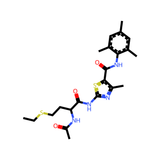 CCSCCC(NC(C)=O)C(=O)Nc1nc(C)c(C(=O)Nc2c(C)cc(C)cc2C)s1